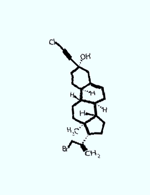 C=C(CBr)[C@H]1CC[C@H]2[C@@H]3CC=C4C[C@](O)(C#CCl)CC[C@@H]4[C@H]3CC[C@]12C